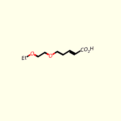 [CH2]COCCOCCC=CC(=O)O